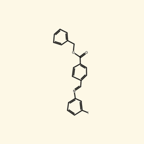 O=C(OCc1ccccc1)c1ccc(C=Nc2cccc(I)c2)cc1